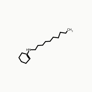 CCCCCCCCCCNC1=CCCCC1